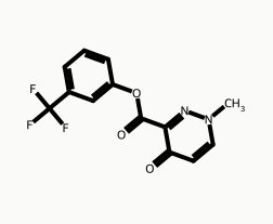 Cn1ccc(=O)c(C(=O)Oc2cccc(C(F)(F)F)c2)n1